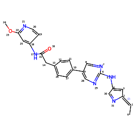 C/C=C1/C=C(Nc2ncc(-c3ccc(CC(=O)Nc4ccnc(OC)c4)cc3)cn2)C=N1